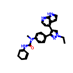 CCn1cc(-c2ccnc3[nH]ccc23)c(-c2ccc(N(C)C(=O)NC3=CCCC=C3)cc2)n1